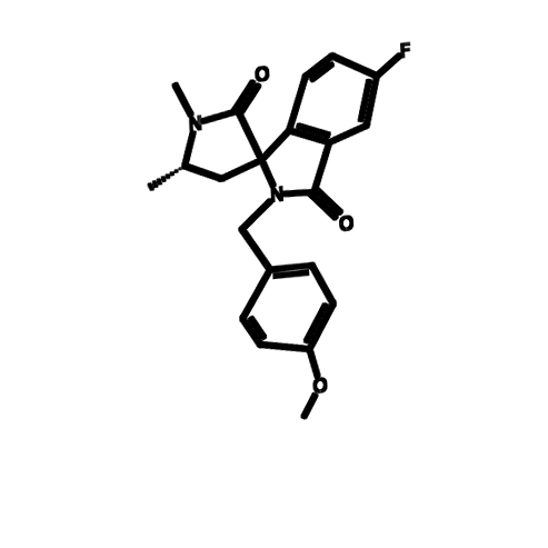 COc1ccc(CN2C(=O)c3cc(F)ccc3C23C[C@H](C)N(C)C3=O)cc1